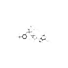 COC(=O)C(Cc1cccc(C(F)(F)F)c1)(OC1[C@H]2O[C@@H](n3cnc4c(N)nc(Cl)nc43)[C@@H](F)[C@@]12O)C(=O)OC